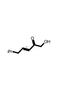 CC(C)C/C=C/C(=O)CO